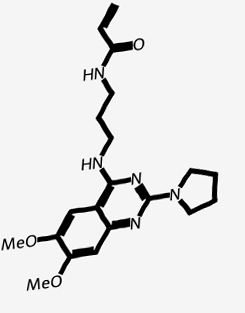 C=CC(=O)NCCCNc1nc(N2CCCC2)nc2cc(OC)c(OC)cc12